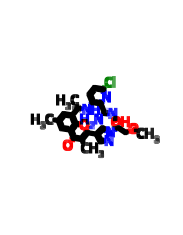 COCCn1cc(-c2oc3c([C@@H](C)Nc4ccc(Cl)nc4/C(N)=N/O)cc(C)cc3c(=O)c2C)cn1